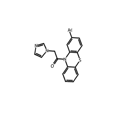 CC(=O)c1ccc2c(c1)N(C(=O)Cn1ccnc1)c1ccccc1S2